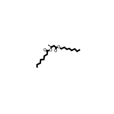 CCCCCCCCOC(=O)C[C@H](C)OC(=O)CCCCCCC